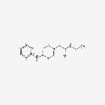 CCOC(=O)CC1CCC(Nc2ncccn2)CC1